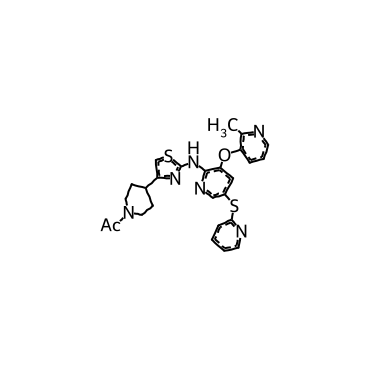 CC(=O)N1CCC(c2csc(Nc3ncc(Sc4ccccn4)cc3Oc3cccnc3C)n2)CC1